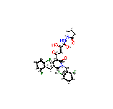 O=C(NN1CCCC1=O)C(O)=CC(=O)c1cc(Cc2c(F)cccc2F)cn(Cc2c(F)cccc2F)c1=O